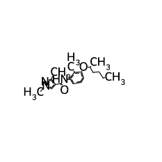 CCCCC(C)Oc1cccc(NC(=O)c2cn(C)nc2C)c1C